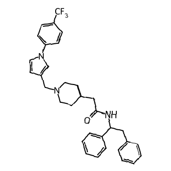 O=C(CC1CCN(Cc2ccn(-c3ccc(C(F)(F)F)cc3)c2)CC1)NC(Cc1ccccc1)c1ccccc1